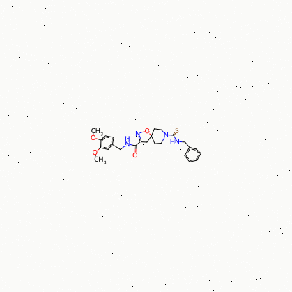 COc1ccc(CNC(=O)C2=NOC3(CCN(C(=S)NCc4ccccc4)CC3)C2)cc1OC